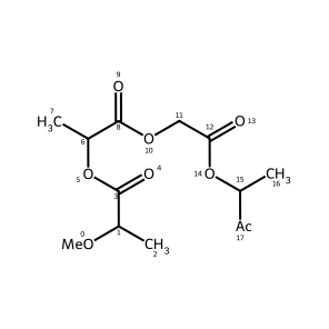 COC(C)C(=O)OC(C)C(=O)OCC(=O)OC(C)C(C)=O